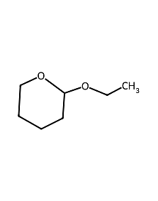 CCOC1CCCCO1